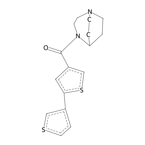 O=C(c1csc(-c2ccsc2)c1)N1CCN2CCC1CC2